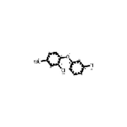 CC(C)(C)c1ccc(Oc2cccc(Cl)c2)c(Cl)c1